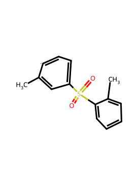 Cc1[c]ccc(S(=O)(=O)c2ccccc2C)c1